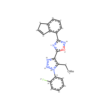 COCc1c(-c2nc(-c3cccc4c3C=CC4)no2)nnn1-c1ccccc1F